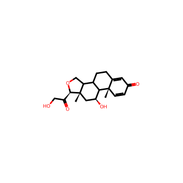 C[C@]12C=CC(=O)C=C1CCC1C2[C@@H](O)C[C@@]2(C)C1CO[C@@H]2C(=O)CO